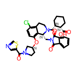 O=C(O)[C@H]1CCCC[C@H]1C(=O)N1CCc2c(Cl)ccc(O[C@H]3CCN(C(=O)c4cncs4)C3)c2[C@H]1CN1C(=O)c2ccccc2C1=O